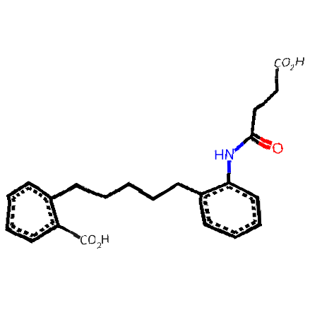 O=C(O)CCC(=O)Nc1ccccc1CCCCCc1ccccc1C(=O)O